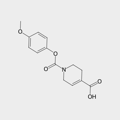 COc1ccc(OC(=O)N2CC=C(C(=O)O)CC2)cc1